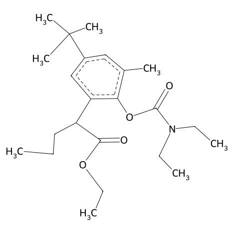 CCCC(C(=O)OCC)c1cc(C(C)(C)C)cc(C)c1OC(=O)N(CC)CC